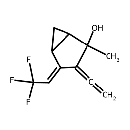 C=C=C1/C(=C/C(F)(F)F)C2CC2C1(C)O